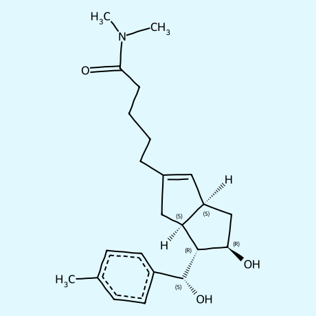 Cc1ccc([C@@H](O)[C@@H]2[C@H]3CC(CCCCC(=O)N(C)C)=C[C@H]3C[C@H]2O)cc1